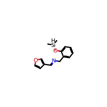 C[SiH](C)Oc1ccccc1CN=Cc1ccoc1